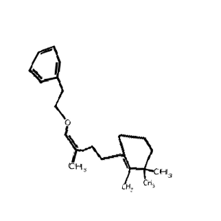 CC(=COCCc1ccccc1)CCC1=C(C)C(C)(C)CCC1